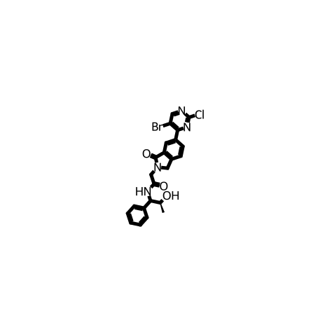 C[C@H](O)C(NC(=O)CN1Cc2ccc(-c3nc(Cl)ncc3Br)cc2C1=O)c1ccccc1